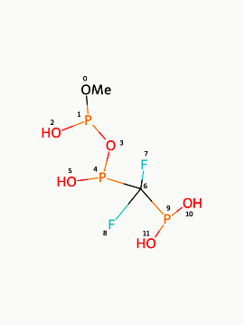 COP(O)OP(O)C(F)(F)P(O)O